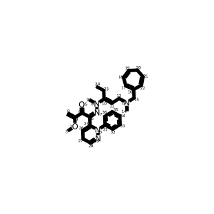 C=C(OC)C(=O)/C(=N\N(C)/C(=C/CN(C)CC1=CC=CCC=C1)CC)C1=CCC=NN1c1ccccc1